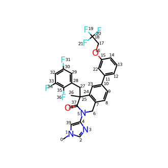 Cn1cnc(N2Cc3ccc(-c4cccc(OCC(F)(F)F)c4)cc3C(C)(Cc3cc(F)cc(F)c3F)C2=O)c1